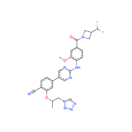 COc1cc(C(=O)N2CC(C(F)F)C2)ccc1Nc1ncc(-c2ccc(C#N)c(OC(C)Cn3cnnn3)c2)cn1